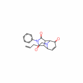 C=CCCCN1C2C=CC(=O)C1C1C(=O)N(c3ccccc3)C(=O)C12